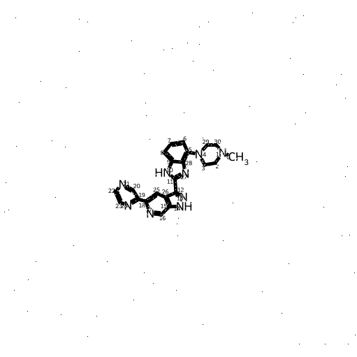 CN1CCN(c2cccc3[nH]c(-c4n[nH]c5cnc(-c6cnccn6)cc45)nc23)CC1